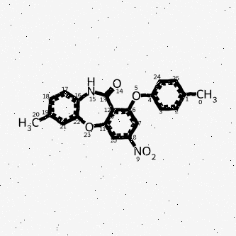 Cc1ccc(Oc2cc([N+](=O)[O-])cc3c2C(=O)Nc2ccc(C)cc2O3)cc1